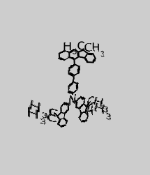 CC1(C)c2ccccc2-c2cc(N(c3ccc(-c4ccc(-c5c6c(cc7ccccc57)C(C)(C)c5ccccc5-6)cc4)cc3)c3ccc4c(c3)C3=CC=CC[C@H]3C4(C)C)ccc21